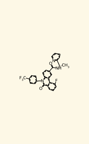 C[C@H](NC(=O)c1ccc2c(c1)c1c(F)cccc1c(=O)n2-c1ccc(C(F)(F)F)cc1)c1ccccn1